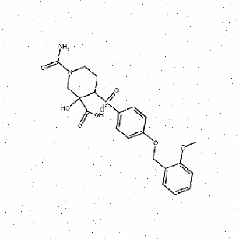 COc1ccccc1COc1ccc(S(=O)(=O)C2CCN(C(N)=O)CC2(O)C(=O)O)cc1